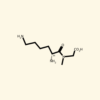 CN(CC(=O)O)C(=O)[C@H](N)CCCCN